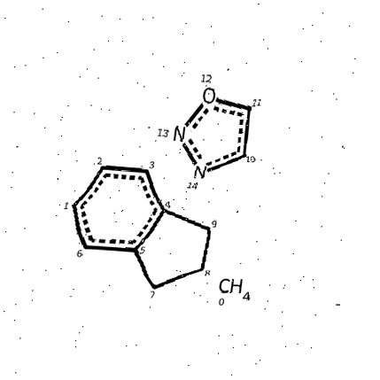 C.c1ccc2c(c1)CCC2.c1conn1